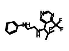 CC(C)C(NCCNc1ccccc1)c1cncnc1C(F)(F)F